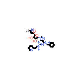 CCc1cc([C@H]2O[C@@H](n3cnc4c(NCc5ccccc5)nc(NCCc5ccccn5)nc43)[C@H](O)[C@@H]2O)on1